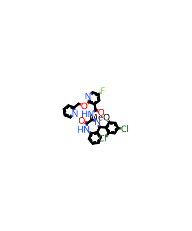 COc1cc(Cl)cc(Cl)c1C1=NC(NC(=O)c2cc(F)cnc2OCc2ccccn2)C(=O)Nc2ccccc21